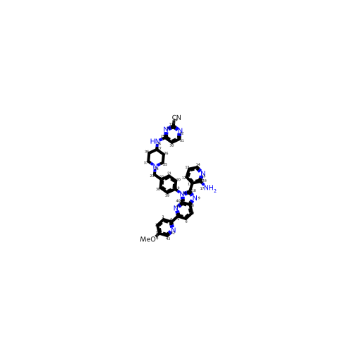 COc1ccc(-c2ccc3nc(-c4cccnc4N)n(-c4ccc(CN5CCC(Nc6ccnc(C#N)n6)CC5)cc4)c3n2)nc1